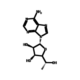 C[C@@H](O)C1O[C@@H](n2cnc3c(N)ncnc32)[C@H](O)[C@@H]1O